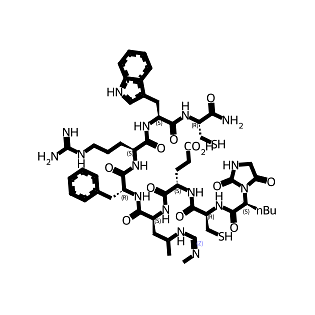 CCCC[C@@H](C(=O)N[C@@H](CS)C(=O)N[C@@H](CCC(=O)O)C(=O)N[C@@H](CC(C)N/C=N\C)C(=O)N[C@H](Cc1ccccc1)C(=O)N[C@@H](CCCNC(=N)N)C(=O)N[C@@H](Cc1c[nH]c2ccccc12)C(=O)N[C@@H](CS)C(N)=O)N1C(=O)CNC1=O